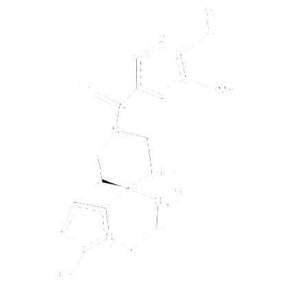 COc1cc(C(=O)N2CC[C@@]3(c4ccc(C(F)(F)F)n4CCN3C)[C@@H](F)C2)ccc1OC(C)C